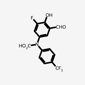 O=Cc1cc(N(C(=O)O)c2ccc(C(F)(F)F)cc2)cc(F)c1O